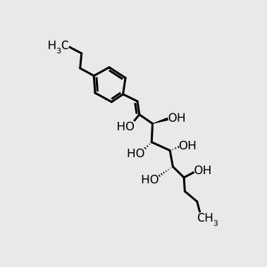 CCCc1ccc(C=C(O)[C@@H](O)[C@@H](O)[C@H](O)[C@@H](O)C(O)CCC)cc1